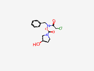 O=C(ON(Cc1ccccc1)C(=O)CCl)N1CCC(O)C1